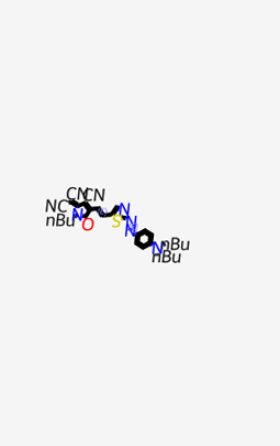 CCCCN1C(=O)C(/C=C/c2cnc(/N=N/c3ccc(N(CCCC)CCCC)cc3)s2)=C(C#N)C1=C(C#N)C#N